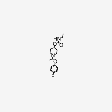 CCNC(=O)OC1CCN(C(C)Oc2ccc(F)cc2)CC1